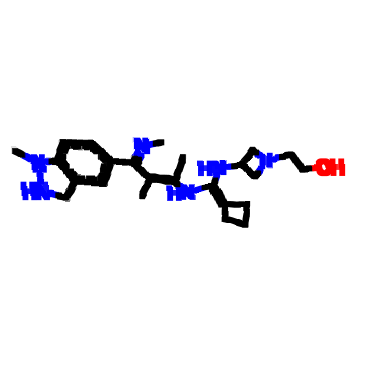 C/N=C(\C(C)=C(/C)NC(NC1CN(CCO)C1)=C1CCC1)c1ccc2c(c1)CNN2C